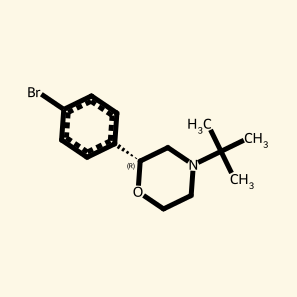 CC(C)(C)N1CCO[C@H](c2ccc(Br)cc2)C1